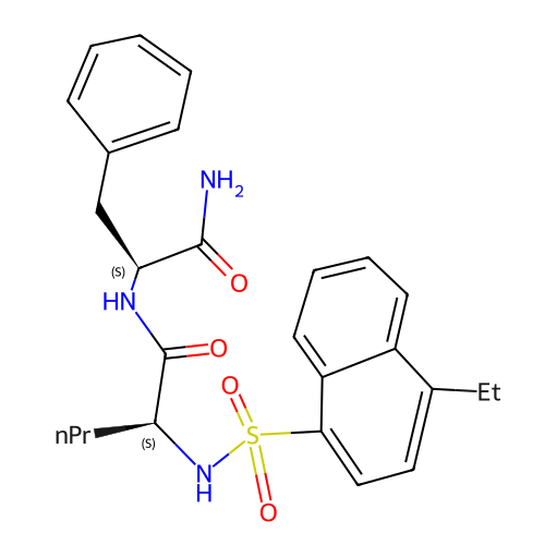 CCC[C@H](NS(=O)(=O)c1ccc(CC)c2ccccc12)C(=O)N[C@@H](Cc1ccccc1)C(N)=O